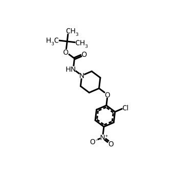 CC(C)(C)OC(=O)NN1CCC(Oc2ccc([N+](=O)[O-])cc2Cl)CC1